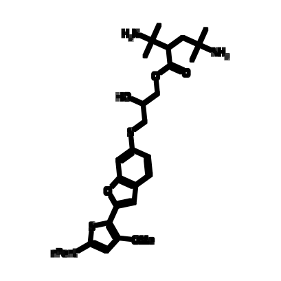 CCCCCc1cc(OC)c(-c2cc3ccc(SCC(O)COC(=O)C(CC(C)(C)N)C(C)(C)N)cc3o2)s1